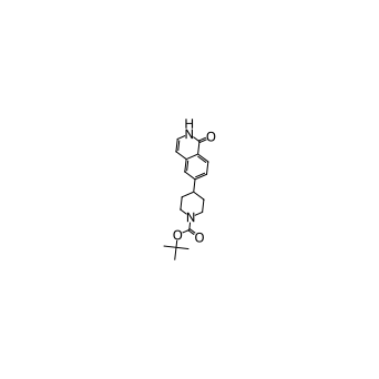 CC(C)(C)OC(=O)N1CCC(c2ccc3c(=O)[nH]ccc3c2)CC1